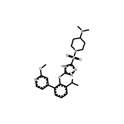 COc1cc(-c2cccc(C(C)C)c2Oc2nnc(S(=O)(=O)N3CCC(N(C)C)CC3)[nH]2)ccn1